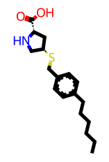 CCCCCCc1ccc(CS[C@@H]2CN[C@H](C(=O)O)C2)cc1